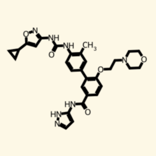 Cc1cc(-c2cc(C(=O)Nc3ccn[nH]3)ccc2OCCN2CCOCC2)ccc1NC(=O)Nc1cc(C2CC2)on1